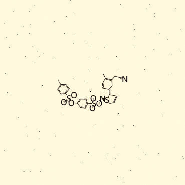 CC1=C(CC#N)CC(=C2C=CCS2=NOS(=O)(=O)c2ccc(OS(=O)(=O)c3ccc(C)cc3)cc2)C=C1